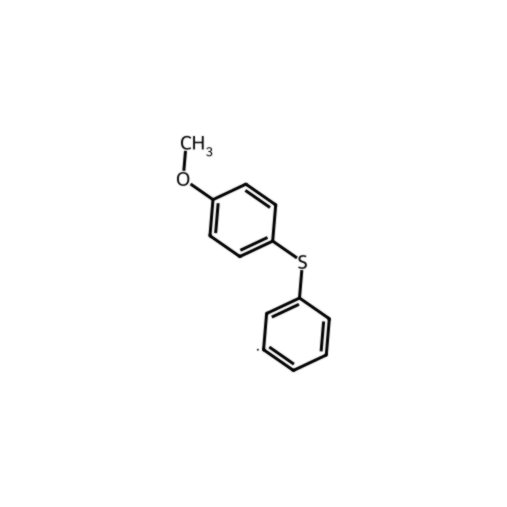 COc1ccc(Sc2c[c]ccc2)cc1